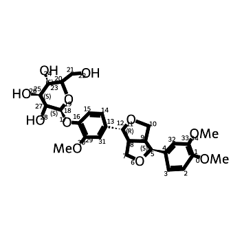 COc1ccc([C@H]2OCC3C2CO[C@H]3c2ccc(O[C@@H]3OC(CO)[C@@H](O)[C@H](O)C3O)c(OC)c2)cc1OC